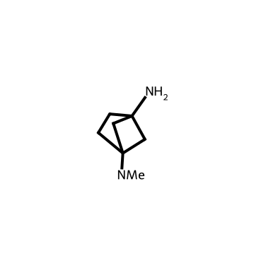 CNC12CCC(N)(C1)C2